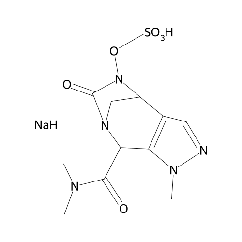 CN(C)C(=O)C1c2c(cnn2C)C2CN1C(=O)N2OS(=O)(=O)O.[NaH]